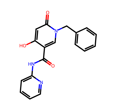 O=C(Nc1ccccn1)c1cn(Cc2ccccc2)c(=O)cc1O